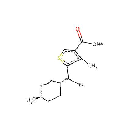 CCC(c1scc(C(=O)OC)c1C)[C@H]1CC[C@H](C)CC1